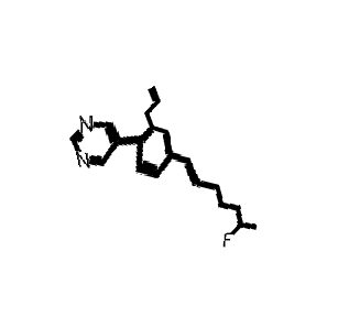 C=CCc1cc(C=CCCCC(C)F)ccc1-c1cncnc1